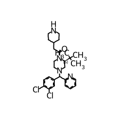 CC(C)(C)[C@H]1CN(C(c2ccc(Cl)c(Cl)c2)c2ccccn2)CCN1C(=O)CC1CCNCC1